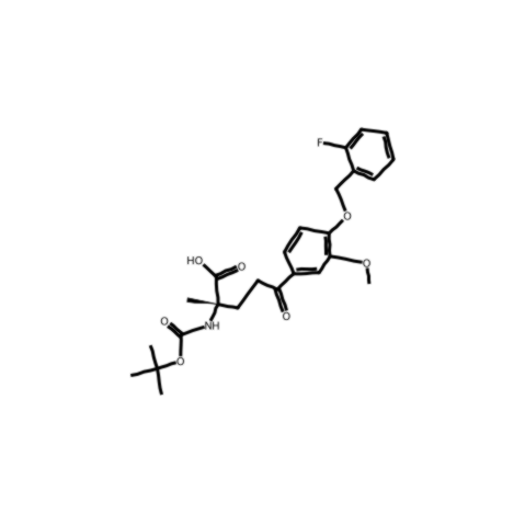 COc1cc(C(=O)CC[C@](C)(NC(=O)OC(C)(C)C)C(=O)O)ccc1OCc1ccccc1F